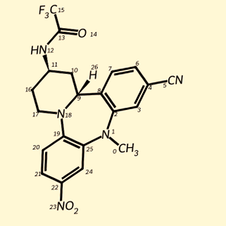 CN1c2cc(C#N)ccc2[C@H]2C[C@H](NC(=O)C(F)(F)F)CCN2c2ccc([N+](=O)[O-])cc21